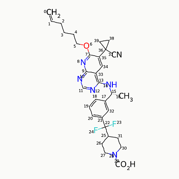 C=CCCCCOc1nc2ncnc(N[C@H](C)c3cccc(C(F)(F)C4CCN(C(=O)O)CC4)c3)c2cc1C1(C#N)CC1